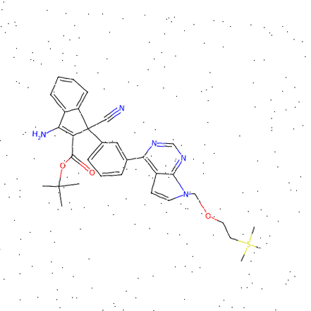 CC(C)(C)OC(=O)C1=C(N)c2ccccc2C1(C#N)c1cccc(-c2ncnc3c2ccn3COCCS(C)(C)C)c1